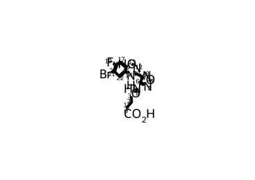 O=C(O)CCCONc1nonc1/C(=N/O)Nc1ccc(F)c(Br)c1